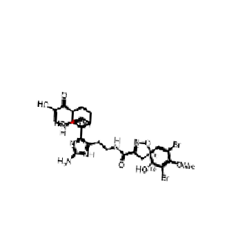 COC1=C(Br)[C@@H](O)[C@]2(C=C1Br)CC(C(=O)NCCc1[nH]c(N)nc1C1C3CCC4(C(=O)C(O)=CNC4=C3O)C1O)=NO2